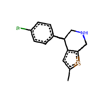 Cc1cc2c(s1)CNCC2c1ccc(Br)cc1